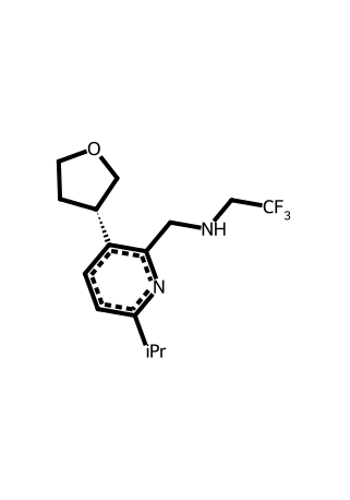 CC(C)c1ccc([C@@H]2CCOC2)c(CNCC(F)(F)F)n1